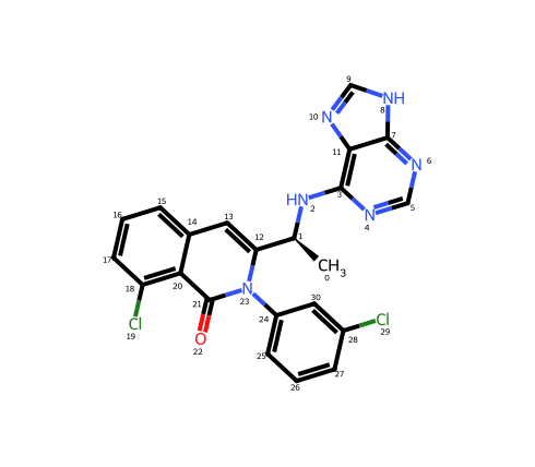 C[C@H](Nc1ncnc2[nH]cnc12)c1cc2cccc(Cl)c2c(=O)n1-c1cccc(Cl)c1